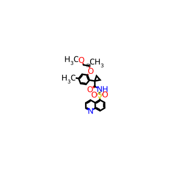 COC[C@@H](C)Oc1cc(C)ccc1C1(C(=O)NS(=O)(=O)c2cccc3ncccc23)CC1